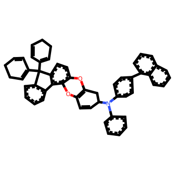 C1=CC(C2(C3=CCCC=C3)c3ccccc3-c3c2ccc2c3OC3=C(CC(N(c4ccccc4)c4ccc(-c5cccc6ccccc56)cc4)C=C3)O2)=CCC1